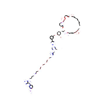 CO[C@H]1C[C@@H]2CC[C@@H](C)[C@@](O)(O2)C(=O)C(=O)N2CCCC[C@H]2C(=O)OC([C@H](N)C[C@@H]2CC[C@@H](OCc3cccc(-c4cnc(N5CCN(Cc6cn(CCOCCOCCOCCOCCC(=O)NCCCCn7nc(-c8ccc9oc(N)nc9c8)c8c(N)ncnc87)nn6)C(CO)C5)nc4)c3)[C@H](OC)C2)CC(=O)[C@H](C)/C=C(\C)[C@@H](O)[C@@H](OC)C(=O)[C@H](C)C[C@H](C)/C=C/C=C/C=C/1C